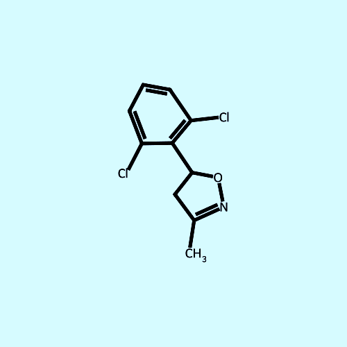 CC1=NOC(c2c(Cl)cccc2Cl)C1